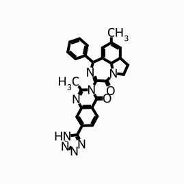 CC1=CC2CCN3C(=O)C(n4c(C)nc5cc(-c6nnn[nH]6)ccc5c4=O)=NC(c4ccccc4)C(=C1)C23